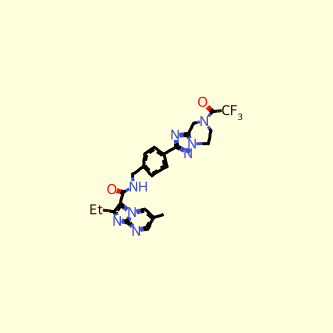 CCc1nc2ncc(C)cn2c1C(=O)NCc1ccc(-c2nc3n(n2)CCN(C(=O)C(F)(F)F)C3)cc1